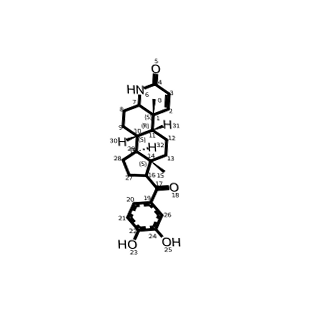 C[C@]12C=CC(=O)NC1CC[C@@H]1[C@H]2CC[C@]2(C)C(C(=O)c3ccc(O)c(O)c3)CC[C@@H]12